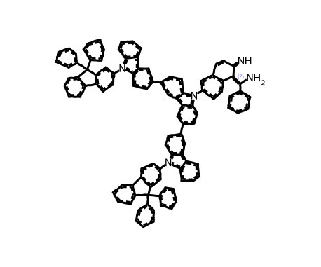 N=C1C=Cc2cc(-n3c4ccc(-c5ccc6c(c5)c5ccccc5n6-c5ccc6c(c5)C(c5ccccc5)(c5ccccc5)c5ccccc5-6)cc4c4cc(-c5ccc6c(c5)c5ccccc5n6-c5ccc6c(c5)C(c5ccccc5)(c5ccccc5)c5ccccc5-6)ccc43)ccc2/C1=C(/N)c1ccccc1